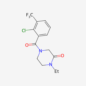 CCN1CCN(C(=O)c2cccc(C(F)(F)F)c2Cl)CC1=O